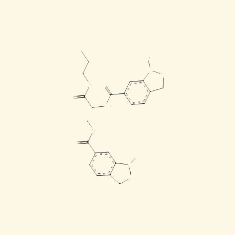 CCCNC(=O)[C@@H](CNC(=O)c1ccc2c(c1)B(O)OC2)NC(=O)c1ccc2c(c1)B(O)OC2